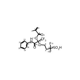 C=C(C)C(=O)OC(OCCC(F)(F)S(=O)(=O)O)(C(=O)Nc1ccccc1)C(F)(F)F